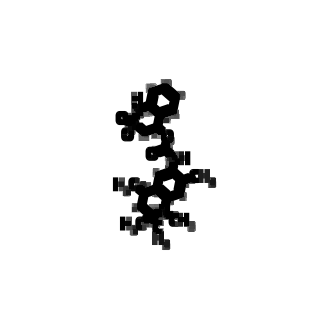 Cc1cc2c(cc1NC(=O)OC1CS(=O)(=O)Nc3ccccc31)C(C)CC(C)(C)N2C